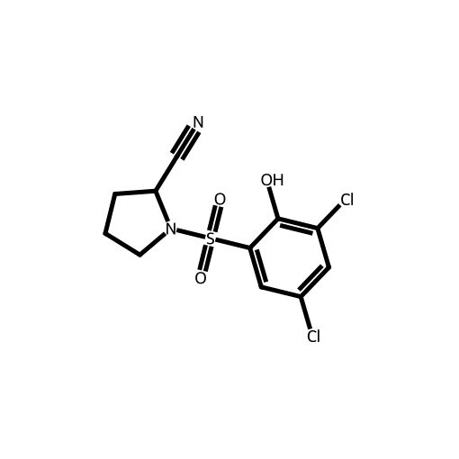 N#CC1CCCN1S(=O)(=O)c1cc(Cl)cc(Cl)c1O